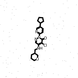 O=c1c(Cl)c(NCC2CCCOC2)cnn1-c1ccc(C2CCCC2)cn1